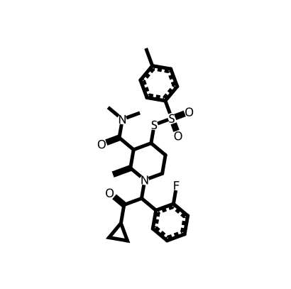 C=C1C(C(=O)N(C)C)C(SS(=O)(=O)c2ccc(C)cc2)CCN1C(C(=O)C1CC1)c1ccccc1F